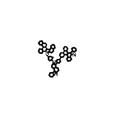 Cn1c2ccccc2c2c3ccc4c(c3ccc21)c1ccc(C2=CC3=c5c(c6c7ccccc7n(C)c6c6ccccc56)=C5C=CC=CC5C3C=C2)cc1n4-c1ccc(Cn2c3c(c4c5ccccc5ccc42)C2CC=c4ccccc4=C2c2ccccc2-3)cc1